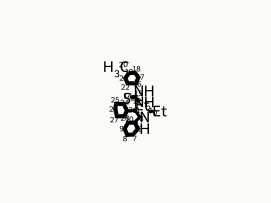 CCC(CC)N[C@H](c1ccccc1)[C@H](NC(=S)Nc1ccc(C)cc1)c1ccccc1